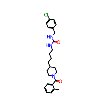 Cc1ccccc1C(=O)N1CCC(CCCCNC(=O)NCc2ccc(Cl)cc2)CC1